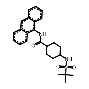 CC(C)(C)S(=O)(=O)NC1CCC(C(=O)Nc2c3ccccc3cc3ccccc23)CC1